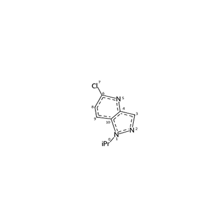 CC(C)n1ncc2nc(Cl)ccc21